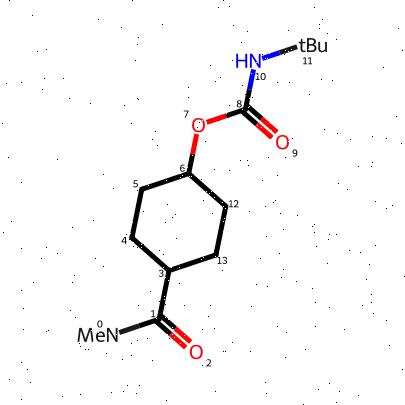 CNC(=O)C1CCC(OC(=O)NC(C)(C)C)CC1